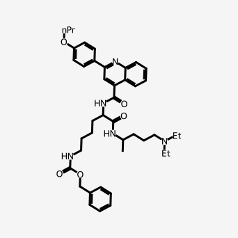 CCCOc1ccc(-c2cc(C(=O)NC(CCCCNC(=O)OCc3ccccc3)C(=O)NC(C)CCCN(CC)CC)c3ccccc3n2)cc1